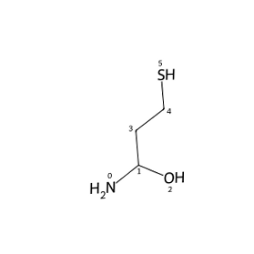 NC(O)CCS